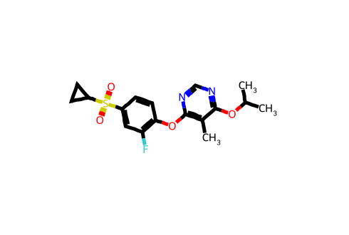 Cc1c(Oc2ccc(S(=O)(=O)C3CC3)cc2F)ncnc1OC(C)C